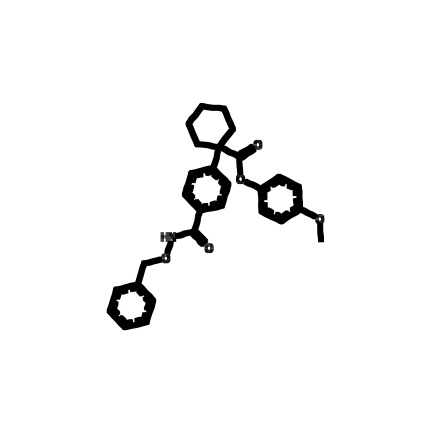 COc1ccc(OC(=O)C2(c3ccc(C(=O)NOCc4ccccc4)cc3)CCCCC2)cc1